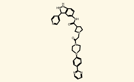 O=C(Nc1ccc2c(c1)C(c1ccncc1)NN2)C1CCN(CC(=O)N2CCN(c3ccc(-c4ncccn4)cc3)CC2)C1